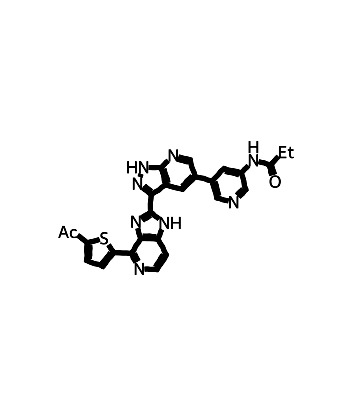 CCC(=O)Nc1cncc(-c2cnc3[nH]nc(-c4nc5c(-c6ccc(C(C)=O)s6)nccc5[nH]4)c3c2)c1